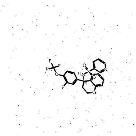 O=S(=O)(N[C@]1(c2ccc(OC(F)(F)F)c(F)c2)CCOc2cccnc21)c1cccnc1